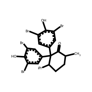 CC1CCC(C(C)C)C(c2cc(Br)c(O)c(Br)c2)(c2cc(Br)c(O)c(Br)c2)C1=O